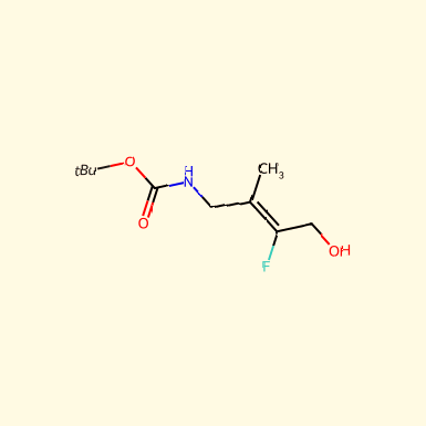 C/C(CNC(=O)OC(C)(C)C)=C(/F)CO